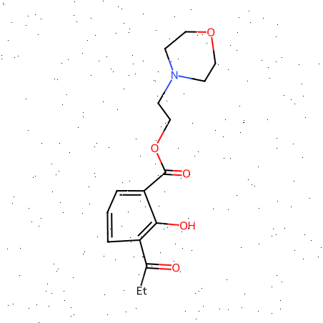 CCC(=O)c1cccc(C(=O)OCCN2CCOCC2)c1O